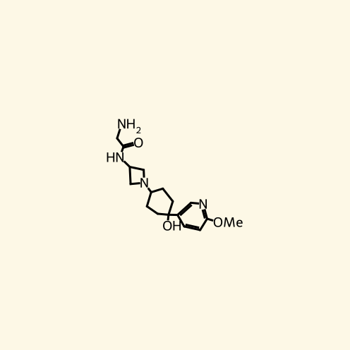 COc1ccc(C2(O)CCC(N3CC(NC(=O)CN)C3)CC2)cn1